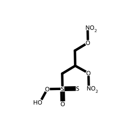 O=[N+]([O-])OCC(CS(=O)(=S)OO)O[N+](=O)[O-]